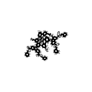 [C-]#[N+]c1cccc(-c2cc(-n3c4ccc(C(=O)OCc5ccccc5)cc4c4cc(C(=O)OCc5ccccc5)ccc43)ccc2-c2nc(-c3ccccc3-c3ccc(C#N)cc3)nc(-c3ccc(-n4c5ccc(C(=O)OCc6ccccc6)cc5c5cc(C(=O)OCc6ccccc6)ccc54)cc3-c3cccc(C#N)c3)n2)c1